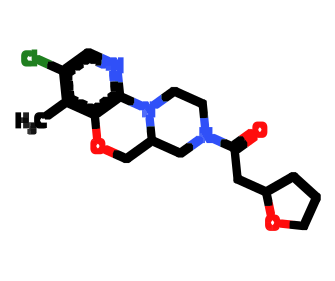 Cc1c(Cl)cnc2c1OCC1CN(C(=O)CC3CCCO3)CCN21